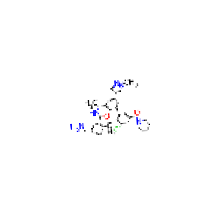 Cc1ccc(CN)cc1C(=O)NC(C)c1cc(-c2cc(Cl)cc(C(=O)N3CCCCC3)c2)cc(-c2cnn(C)c2)c1